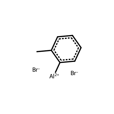 Cc1cccc[c]1[Al+2].[Br-].[Br-]